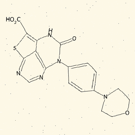 O=C(O)c1sc2ncnc3c2c1NC(=O)N3c1ccc(N2CCOCC2)cc1